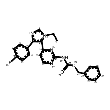 CCn1cnc(-c2ccc(F)cc2)c1-c1ccnc(NC(=O)OCc2ccccc2)n1